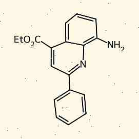 CCOC(=O)c1cc(-c2ccccc2)nc2c(N)cccc12